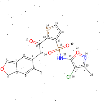 CC1=CC2COC=C2C=C1CC(=O)c1sccc1S(=O)(=O)Nc1onc(C)c1Cl